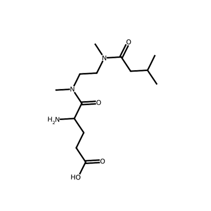 CC(C)CC(=O)N(C)CCN(C)C(=O)C(N)CCC(=O)O